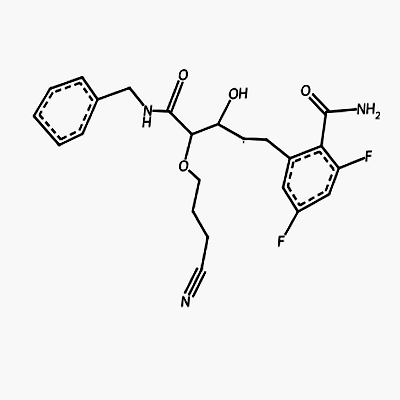 N#CCCCOC(C(=O)NCc1ccccc1)C(O)[CH]Cc1cc(F)cc(F)c1C(N)=O